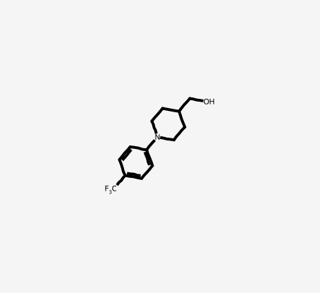 OCC1CCN(c2ccc(C(F)(F)F)cc2)CC1